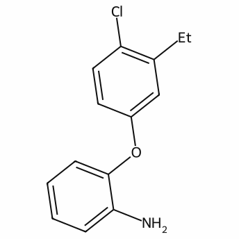 CCc1cc(Oc2ccccc2N)ccc1Cl